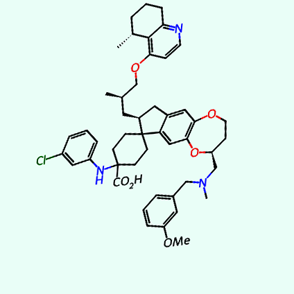 COc1cccc(CN(C)C[C@@H]2CCOc3cc4c(cc3O2)C2(CCC(Nc3cccc(Cl)c3)(C(=O)O)CC2)[C@@H](C[C@@H](C)COc2ccnc3c2[C@H](C)CCC3)C4)c1